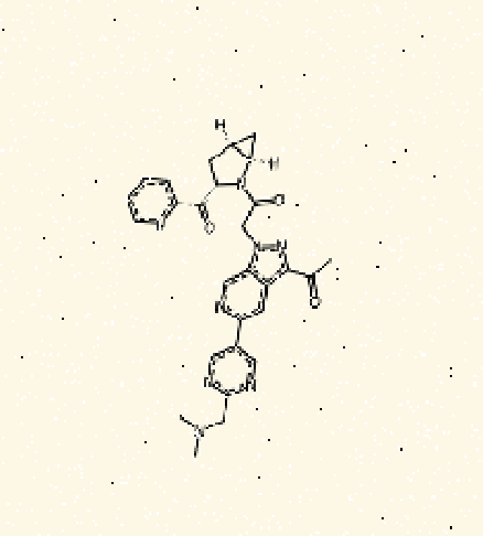 CC(=O)c1nn(CC(=O)N2[C@@H]3C[C@@H]3C[C@H]2C(=O)c2ccccn2)c2cnc(-c3cnc(CN(C)C)nc3)cc12